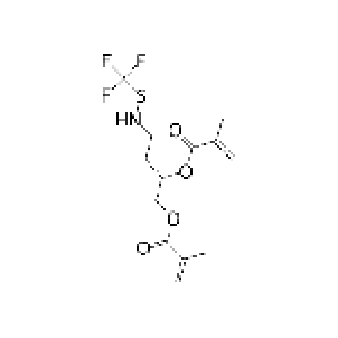 C=C(C)C(=O)OCC(CCNSC(F)(F)F)OC(=O)C(=C)C